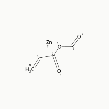 C=CC(=O)OC=O.[Zn]